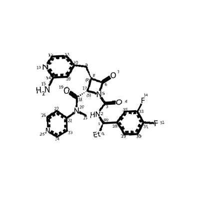 CC[C@@H](NC(=O)N1C(=O)[C@H](Cc2ccnc(N)c2)[C@H]1C(=O)N(C)c1ccncc1)c1ccc(F)c(F)c1